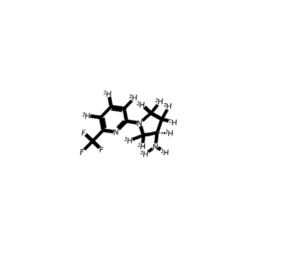 [2H]c1c(N2C([2H])([2H])C([2H])([2H])[C@@]([2H])(N([2H])[2H])C2([2H])[2H])nc(C(F)(F)F)c([2H])c1[2H]